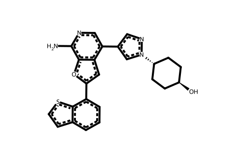 Nc1ncc(-c2cnn([C@H]3CC[C@H](O)CC3)c2)c2cc(-c3cccc4ccsc34)oc12